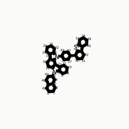 c1ccc2cc(-n3c4ccccc4c4c3ccc3c5ccccc5n(-c5ccc(-c6cccc7c6sc6ccccc67)cc5)c34)ccc2c1